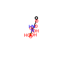 O=C(CCCOc1ccccc1)NCC(=O)N(O)CCCP(=O)(O)O